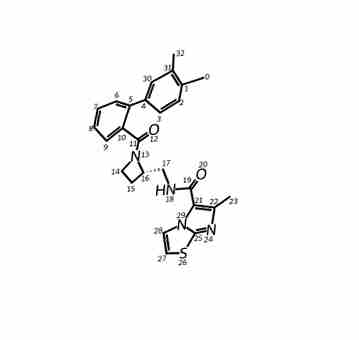 Cc1ccc(-c2ccccc2C(=O)N2CC[C@H]2CNC(=O)c2c(C)nc3sccn23)cc1C